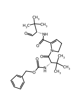 CC(C)(C)[C@H](NC(=O)OCc1ccccc1)C(=O)N1CCC=C1C(=O)N[C@H](C=O)C(C)(C)C